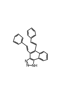 C(=Cc1c(C=Cc2ccccc2)c2nn[nH]c2c2ccccc12)c1ccccc1